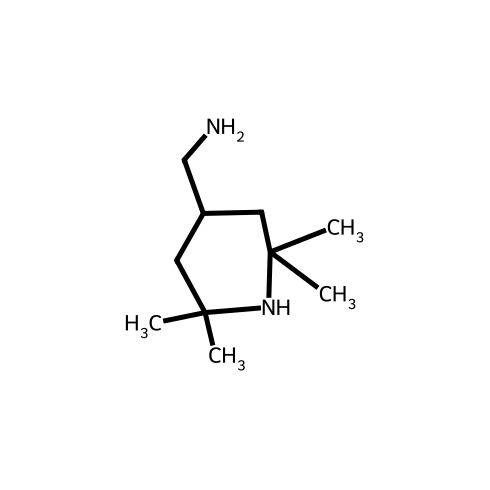 CC1(C)CC(CN)CC(C)(C)N1